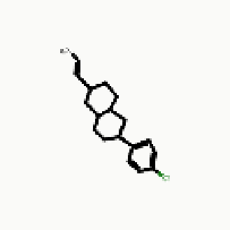 CCCC=CC1CCC2CC(c3ccc(Cl)cc3)CCC2C1